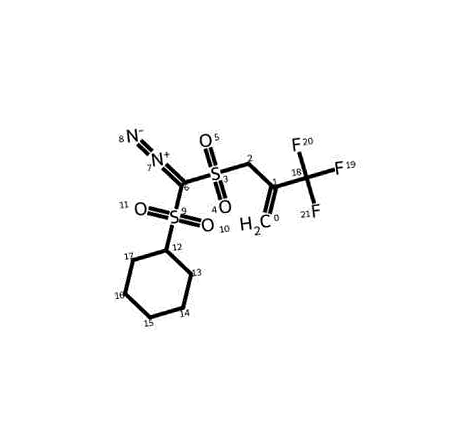 C=C(CS(=O)(=O)C(=[N+]=[N-])S(=O)(=O)C1CCCCC1)C(F)(F)F